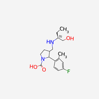 CC[C@@H](CO)NCC1CCN(C(=O)O)C1c1ccc(F)cc1C